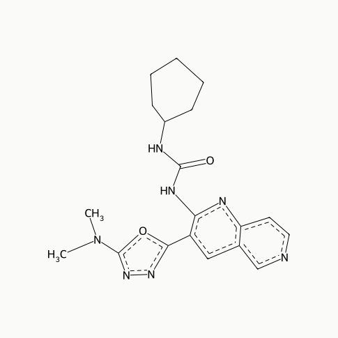 CN(C)c1nnc(-c2cc3cnccc3nc2NC(=O)NC2CCCCC2)o1